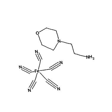 N#[C][Fe]([C]#N)([C]#N)([C]#N)[C]#N.NCCN1CCOCC1